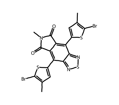 Cc1cc(-c2c3c(c(-c4cc(C)c(Br)s4)c4nsnc24)C(=O)N(C)C3=O)sc1Br